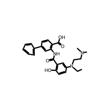 CCN(CCN(C)C)c1ccc(O)c(C(=O)Nc2cc(-c3ccccc3)ccc2C(=O)O)c1